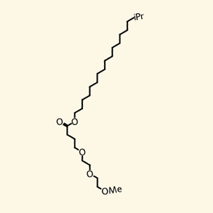 COCCOCCOCCCC(=O)OCCCCCCCCCCCCCCCC(C)C